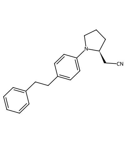 N#CC[C@@H]1CCCN1c1ccc(CCc2ccccc2)cc1